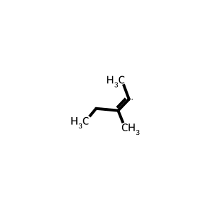 C/[C]=C(/C)CC